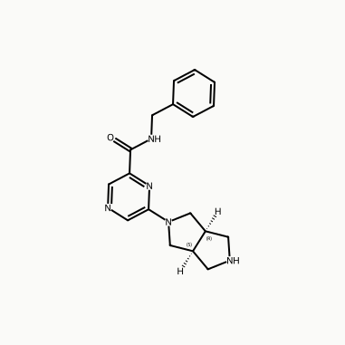 O=C(NCc1ccccc1)c1cncc(N2C[C@H]3CNC[C@H]3C2)n1